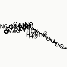 C#CCOCCOCCOCCOCCC(=O)NCCCN(C[C@@H](O)CNC(=O)c1ncn(-c2ncc(OC)c3c(C(=O)C(=O)N4CCC(=C(C#N)c5ccccc5)CC4)c[nH]c23)n1)C(CO)CO